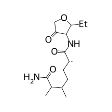 CCC1OCC(=O)C1NC(=O)[CH]CCC(C)C(C)C(N)=O